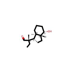 CC[C@](C)(C=O)[C@H]1CC[C@H]2[C@@H](O)CCC[C@@]21C